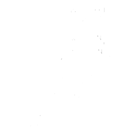 Nc1cc(Oc2ccc(O)cc2I)ccc1CC(N)C(=O)O